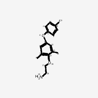 Cc1cc(Oc2ccc(F)cc2)cc(C)c1OCCN